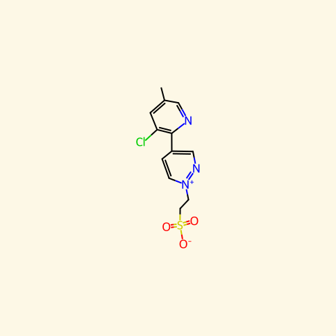 Cc1cnc(-c2cc[n+](CCS(=O)(=O)[O-])nc2)c(Cl)c1